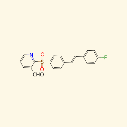 O=Cc1cccnc1S(=O)(=O)c1ccc(/C=C/c2ccc(F)cc2)cc1